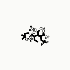 CCC(C(C(=O)O)=C(CC(F)(F)F)C(=O)O)[Si]1(O[Si](C)(C)C)CCC(C)(C)O[Si]1(C)C